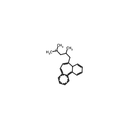 CC(CC1=CC=c2ccccc2=C2C=CC=CC12)CN(C)C